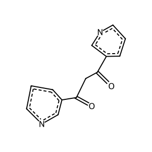 O=C(CC(=O)c1cccnc1)c1cccnc1